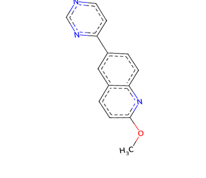 COc1ccc2cc(-c3ccncn3)ccc2n1